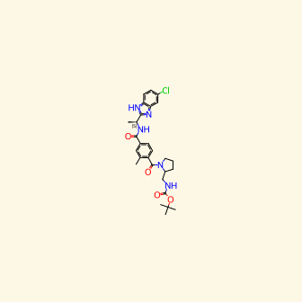 Cc1cc(C(=O)N[C@@H](C)c2nc3cc(Cl)ccc3[nH]2)ccc1C(=O)N1CCCC1CNC(=O)OC(C)(C)C